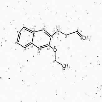 C=CCNc1nc2ccccc2nc1OCC